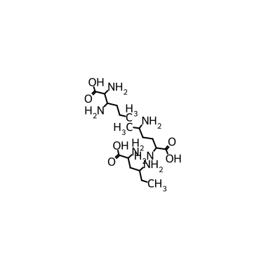 CC(N)CCC(N)C(=O)O.CCC(N)CC(N)C(=O)O.CCCC(N)C(N)C(=O)O